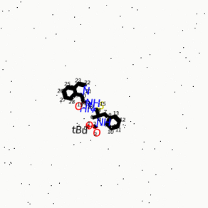 CC(C)(C)OC(=O)NC(C)(Cc1ccccc1)C(=S)NNC(=O)c1nccc2c[c]ccc12